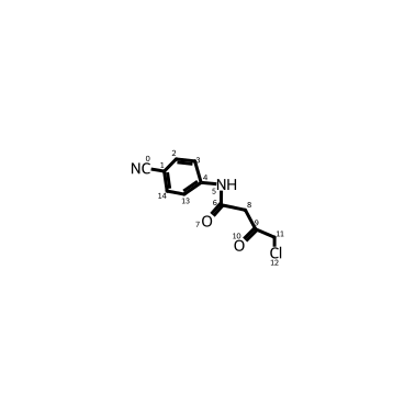 N#Cc1ccc(NC(=O)CC(=O)CCl)cc1